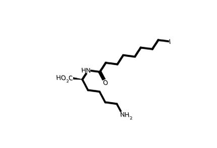 NCCCC[C@H](NC(=O)CCCCCCCI)C(=O)O